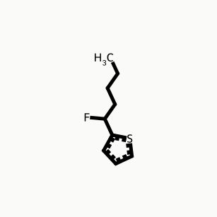 CCCCC(F)c1cccs1